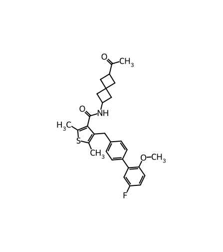 COc1ccc(F)cc1-c1ccc(Cc2c(C)sc(C)c2C(=O)NC2CC3(C2)CC(C(C)=O)C3)cc1